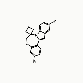 CC(C)c1ccc2c(c1)OCC1(CCC1)n1c-2cc2cc(C(C)C)ccc21